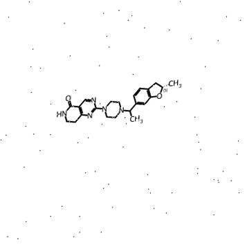 CC(c1ccc2c(c1)O[C@@H](C)C2)N1CCN(c2ncc3c(n2)CCNC3=O)CC1